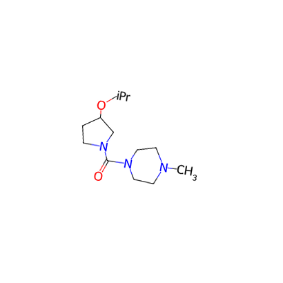 CC(C)OC1CCN(C(=O)N2CCN(C)CC2)C1